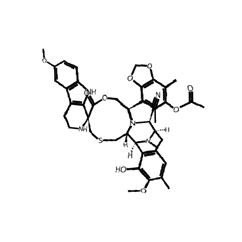 COc1ccc2[nH]c3c(c2c1)CCN[C@]31CSC[C@H]2[C@@H]3c4c(cc(C)c(OC)c4O)C[C@H]([C@H](C#N)N2[C@H](c2c(C)c(OC(C)=O)c(C)c4c2OCO4)COC1=O)N3C